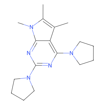 Cc1c(C)n(C)c2nc(N3CCCC3)nc(N3CCCC3)c12